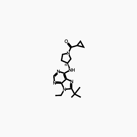 CCn1c(C(C)(C)C)nc2c(N[C@H]3CCN(C(=O)C4CC4)C3)ncnc21